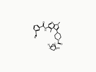 Cc1c(NC(=O)c2cccc(C#N)c2)cnc2c1c(C1CCN(C(=O)[C@H]3C[C@H]4CC[C@@H]3C4)CC1)cn2C